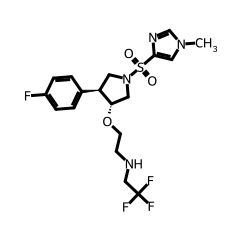 Cn1cnc(S(=O)(=O)N2C[C@H](OCCNCC(F)(F)F)[C@@H](c3ccc(F)cc3)C2)c1